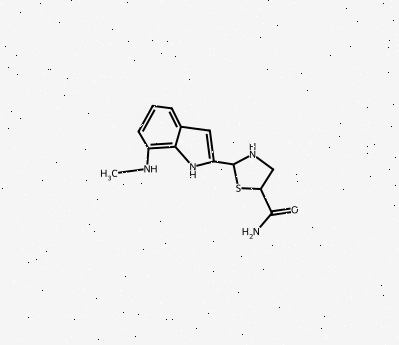 CNc1cccc2cc(C3NCC(C(N)=O)S3)[nH]c12